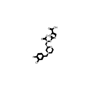 CC(=O)N(C[C@@H]1CN(Cc2ccc(F)c(Cl)c2)CCO1)Sc1nc(C(=O)O)cs1